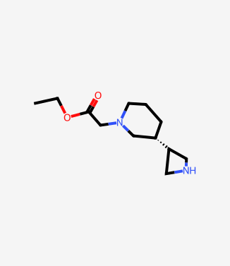 CCOC(=O)CN1CCC[C@H](C2CNC2)C1